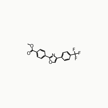 COC(=O)c1ccc(-c2nc(-c3ccc(C(F)(F)F)cc3)co2)cc1